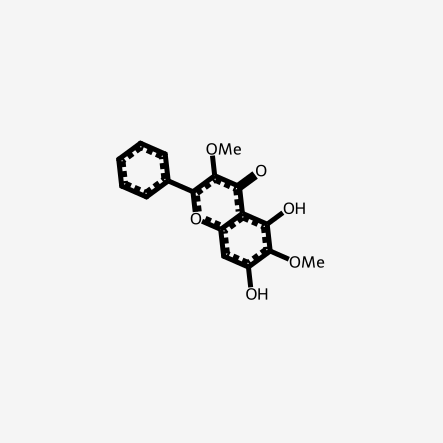 COc1c(O)cc2oc(-c3ccccc3)c(OC)c(=O)c2c1O